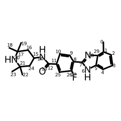 Cc1cccc2[nH]c(-c3ccc(C(=O)NC4CC(C)(C)NC(C)(C)C4)cc3F)nc12